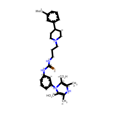 COc1cccc(C2CCN(CCCNC(=S)Nc3cccc(N4C(C(=O)O)=C(C)NC(C)=C4C(=O)O)c3)CC2)c1